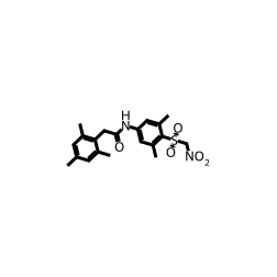 Cc1cc(C)c(CC(=O)Nc2cc(C)c(S(=O)(=O)C[N+](=O)[O-])c(C)c2)c(C)c1